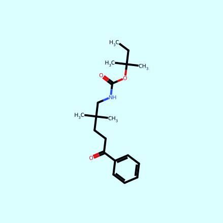 CCC(C)(C)OC(=O)NCC(C)(C)CCC(=O)c1ccccc1